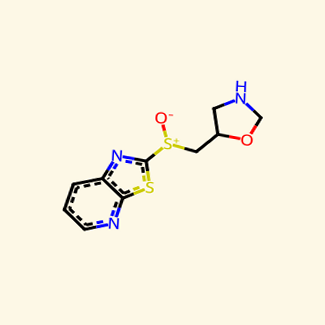 [O-][S+](CC1CNCO1)c1nc2cccnc2s1